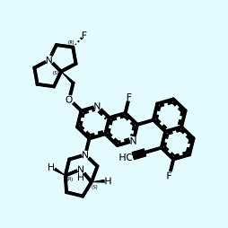 C#Cc1c(F)ccc2cccc(-c3ncc4c(N5C[C@H]6CC[C@@H](C5)N6)cc(OC[C@@]56CCCN5C[C@H](F)C6)nc4c3F)c12